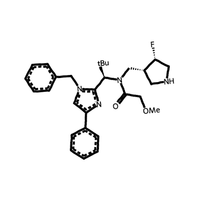 COCC(=O)N(C[C@H]1CNC[C@H]1F)[C@@H](c1nc(-c2ccccc2)cn1Cc1ccccc1)C(C)(C)C